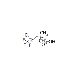 CC(C)(C/C=C(\Cl)C(F)(F)F)CC(=O)O